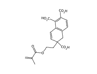 C=C(C)C(=O)OCCC1(C(=O)O)C=Cc2c(ccc(C(=O)O)c2C(=O)O)C1